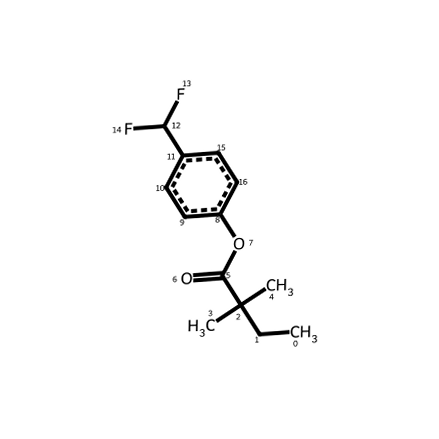 CCC(C)(C)C(=O)Oc1ccc(C(F)F)cc1